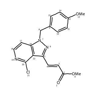 COC(=O)C=Cc1nn(Cc2ccc(OC)cc2)c2ccnc(Cl)c12